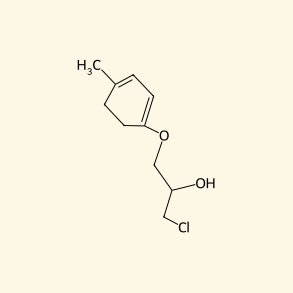 CC1=CC=C(OCC(O)CCl)CC1